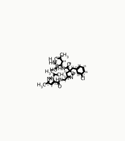 Cc1cc(C(=O)NCC2=NOC(Cc3cccc(Cl)c3)(C(=O)NC(CC(C)C)B(O)O)C2)n(C(C)C)n1